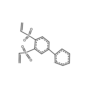 C=CS(=O)(=O)c1ccc(-c2[c]cccc2)cc1S(=O)(=O)C=C